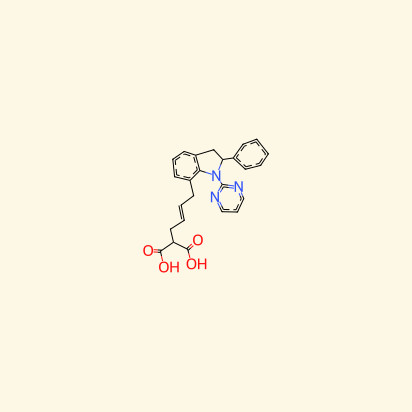 O=C(O)C(CC=CCc1cccc2c1N(c1ncccn1)C(c1ccccc1)C2)C(=O)O